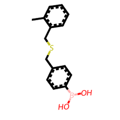 Cc1ccccc1CSCc1ccc(B(O)O)cc1